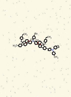 C=Cc1ccc(CC2(Cc3ccc(C=C)cc3)c3cc(C)ccc3-c3ccc(-c4ccc(N(c5ccc(-c6ccc7c(c6)C(Cc6ccc(C=C)cc6)(Cc6ccc(C=C)cc6)c6cc(-c8ccc(N(c9ccc(C)cc9)c9ccc%10c(c9)CC%10)cc8)ccc6-7)cc5)c5ccc(C(C)CC)cc5)cc4)cc32)cc1